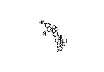 CNc1ccc2c(=O)n(-c3ccc(NC(=O)NS(=O)(=O)c4ccc(C)s4)cc3Cl)cc(CN(C)C)c2c1